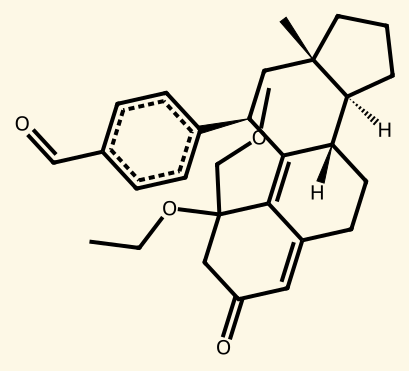 CCOC1(COC)CC(=O)C=C2CC[C@@H]3C(=C21)[C@@H](c1ccc(C=O)cc1)C[C@]1(C)CCC[C@@H]31